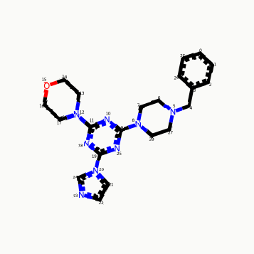 c1ccc(CN2CCN(c3nc(N4CCOCC4)nc(-n4ccnc4)n3)CC2)cc1